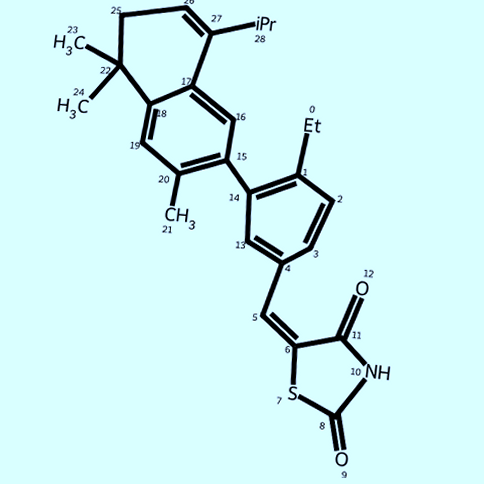 CCc1ccc(/C=C2/SC(=O)NC2=O)cc1-c1cc2c(cc1C)C(C)(C)CC=C2C(C)C